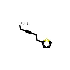 CCCCCCC#CCCc1cccs1